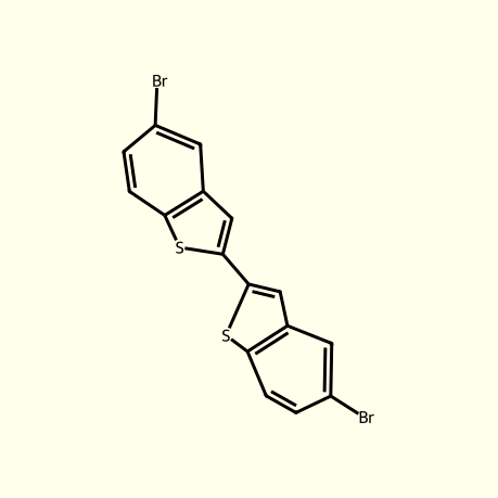 Brc1ccc2sc(-c3cc4cc(Br)ccc4s3)cc2c1